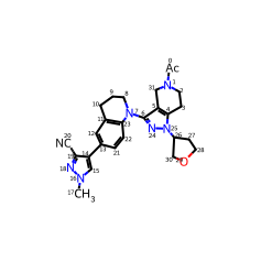 CC(=O)N1CCc2c(c(N3CCCc4cc(-c5cn(C)nc5C#N)ccc43)nn2C2CCOC2)C1